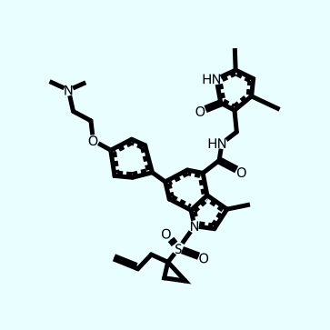 C=CCC1(S(=O)(=O)n2cc(C)c3c(C(=O)NCc4c(C)cc(C)[nH]c4=O)cc(-c4ccc(OCCN(C)C)cc4)cc32)CC1